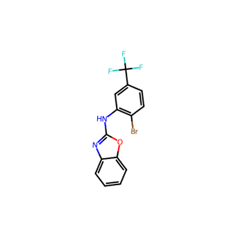 FC(F)(F)c1ccc(Br)c(Nc2nc3ccccc3o2)c1